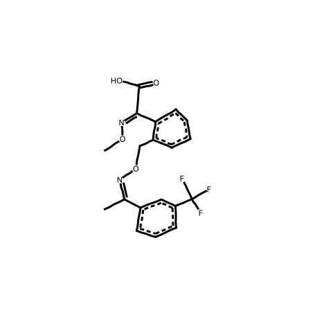 CO/N=C(/C(=O)O)c1ccccc1CON=C(C)c1cccc(C(F)(F)F)c1